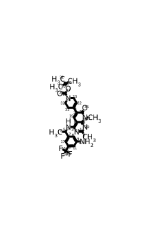 Cc1nc(NC(C)c2cc(N)cc(C(F)(F)F)c2)c2cc(C3=CCN(C(=O)OC(C)(C)C)CC3)c(=O)n(C)c2n1